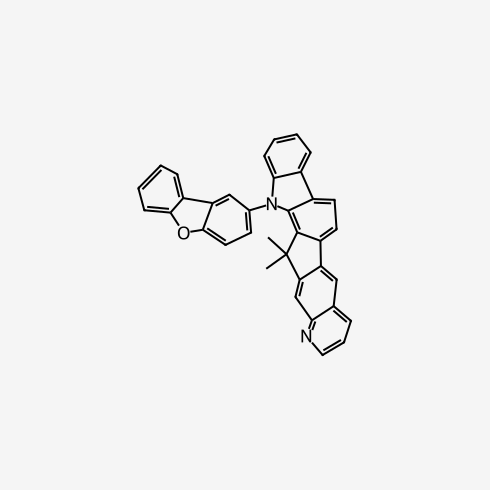 CC1(C)c2cc3ncccc3cc2-c2ccc3c4ccccc4n(-c4ccc5oc6ccccc6c5c4)c3c21